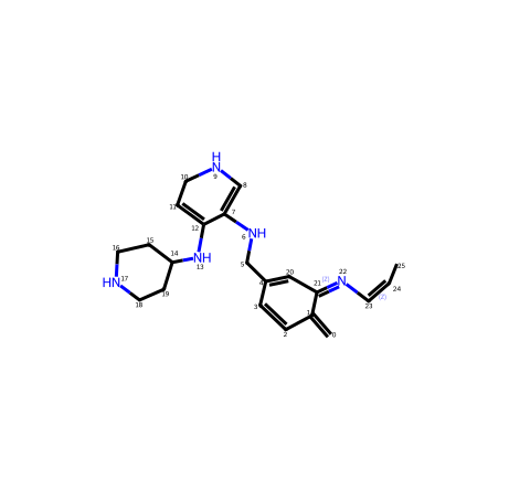 C=C1C=CC(CNC2=CNCC=C2NC2CCNCC2)=C/C1=N/C=C\C